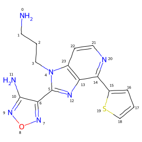 NCCCn1c(-c2nonc2N)nc2c(-c3cccs3)nccc21